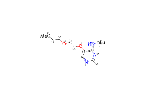 CCCCNc1nc(C)ncc1OCCOCCOC